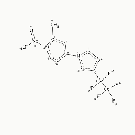 Cc1cc(-n2ccc(C(F)(F)C(F)(F)F)n2)ccc1[N+](=O)[O-]